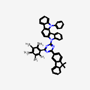 Bc1c(B)c(B)c(-c2nc(-c3ccc4c(c3)-c3ccccc3C4(C)C)nc(-n3c4ccccc4c4c3ccc3c5ccccc5n(-c5ccccc5)c34)n2)c(B)c1B